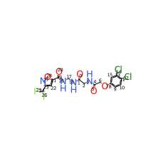 O=C(CNC(=O)COc1ccc(Cl)c(Cl)c1)NCNC(=O)c1cc(C(F)F)no1